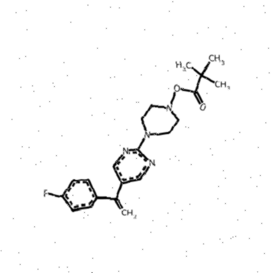 C=C(c1ccc(F)cc1)c1cnc(N2CCN(OC(=O)C(C)(C)C)CC2)nc1